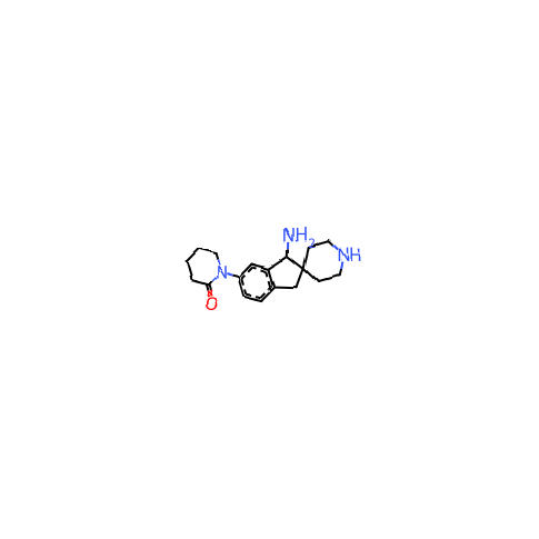 NC1c2cc(N3CCCCC3=O)ccc2CC12CCNCC2